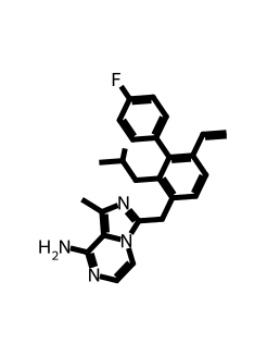 C=Cc1ccc(Cc2nc(C)c3c(N)nccn23)c(CC(C)C)c1-c1ccc(F)cc1